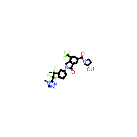 Cn1cnnc1C(F)(F)[C@](C)(F)c1cccc(N2Cc3c(cc(C(=O)N4CC[C@H](O)C4)cc3C(F)(F)F)C2=O)c1